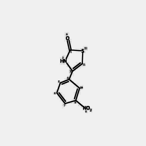 O=c1[nH]c(-c2cccc([N+](=O)[O-])c2)cs1